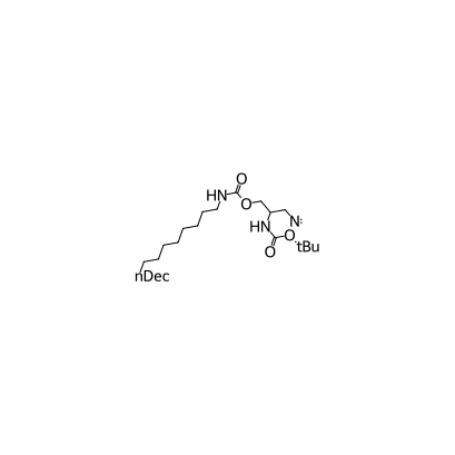 CCCCCCCCCCCCCCCCCCNC(=O)OCC(C[N])NC(=O)OC(C)(C)C